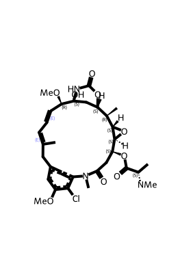 CN[C@@H](C)C(=O)O[C@H]1CC(=O)N(C)c2cc(cc(OC)c2Cl)C/C(C)=C/C=C/[C@@H](OC)[C@@]2(O)C[C@H](OC(=O)N2)[C@@H](C)[C@@H]2O[C@H]21